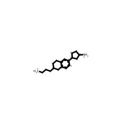 CCCCC1CCc2cc(C3CCC(N)C3)ccc2C1